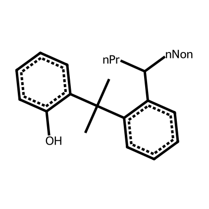 CCCCCCCCCC(CCC)c1ccccc1C(C)(C)c1ccccc1O